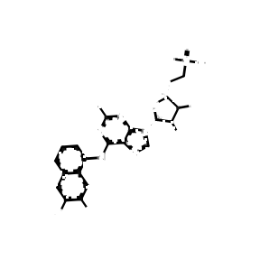 O=P(O)(O)CC[C@H]1O[C@@H](n2cnc3c(Nc4cccc5cc(O)c(O)cc45)nc(Cl)nc32)C(O)C1O